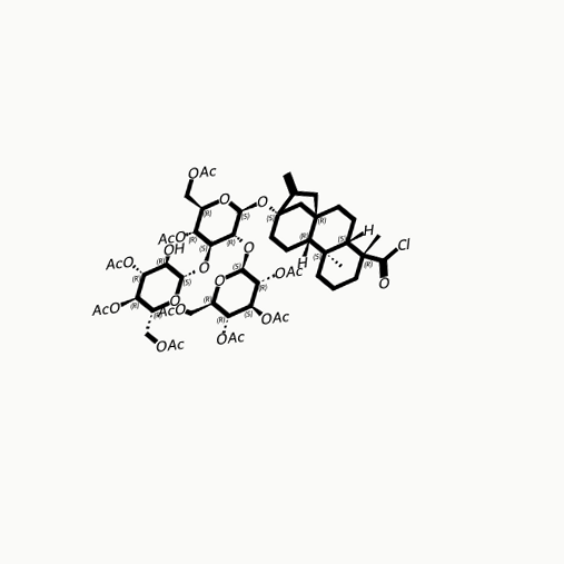 C=C1C[C@@]23CC[C@H]4[C@@](C)(CCC[C@@]4(C)C(=O)Cl)[C@@H]2CC[C@]1(O[C@@H]1O[C@H](COC(C)=O)[C@@H](OC(C)=O)[C@H](O[C@@H]2O[C@H](COC(C)=O)[C@@H](OC(C)=O)[C@H](OC(C)=O)[C@H]2O)[C@H]1O[C@@H]1O[C@H](COC(C)=O)[C@@H](OC(C)=O)[C@H](OC(C)=O)[C@H]1OC(C)=O)C3